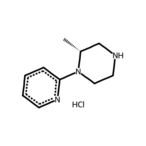 C[C@@H]1CNCCN1c1ccccn1.Cl